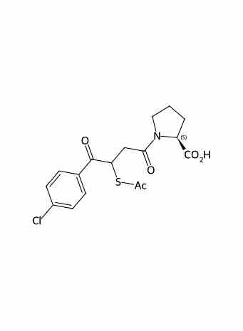 CC(=O)SC(CC(=O)N1CCC[C@H]1C(=O)O)C(=O)c1ccc(Cl)cc1